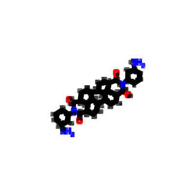 Nc1cccc(N2C(=O)c3ccc4c5ccc6c7c(ccc(c8ccc(c3c48)C2=O)c75)C(=O)N(c2cccc(N)c2)C6=O)c1